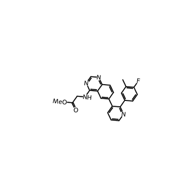 COC(=O)CNc1ncnc2ccc(-c3cccnc3-c3ccc(F)c(C)c3)cc12